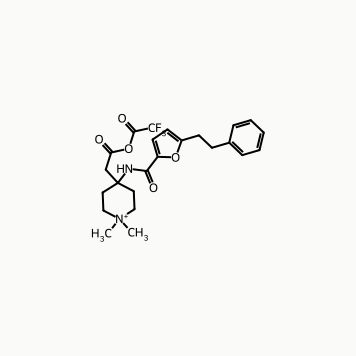 C[N+]1(C)CCC(CC(=O)OC(=O)C(F)(F)F)(NC(=O)c2ccc(CCc3ccccc3)o2)CC1